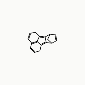 C1=CC2=C3C(=C4C(=C3CC=C2)C2C=CC4C2)C1